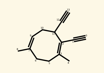 C#CC1=C(C)CCC(C)=CCC1C#C